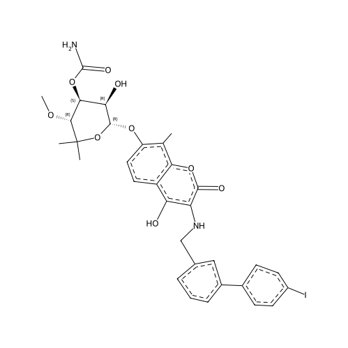 CO[C@@H]1[C@@H](OC(N)=O)[C@@H](O)[C@H](Oc2ccc3c(O)c(NCc4cccc(-c5ccc(I)cc5)c4)c(=O)oc3c2C)OC1(C)C